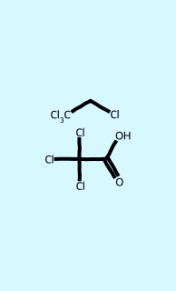 ClCC(Cl)(Cl)Cl.O=C(O)C(Cl)(Cl)Cl